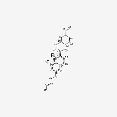 C/C=C/CCc1cc(F)c2c(F)c(C3CCC4CC(CC)CCC4C3)ccc2c1